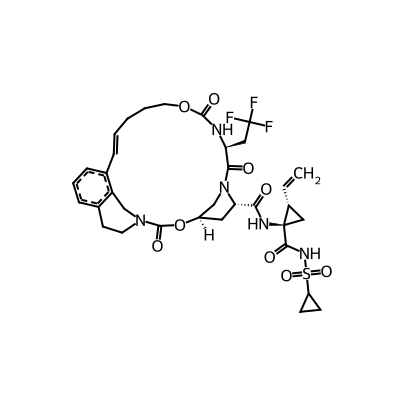 C=C[C@@H]1C[C@]1(NC(=O)[C@@H]1C[C@@H]2CN1C(=O)[C@H](CC(F)(F)F)NC(=O)OCCC/C=C/c1cccc3c1CN(CC3)C(=O)O2)C(=O)NS(=O)(=O)C1CC1